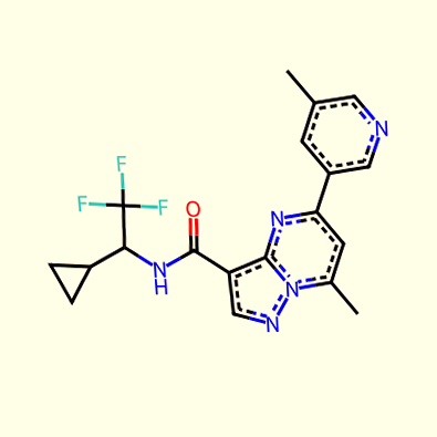 Cc1cncc(-c2cc(C)n3ncc(C(=O)NC(C4CC4)C(F)(F)F)c3n2)c1